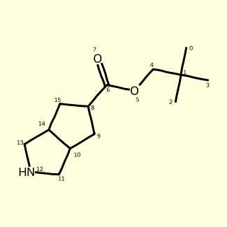 CC(C)(C)COC(=O)C1CC2CNCC2C1